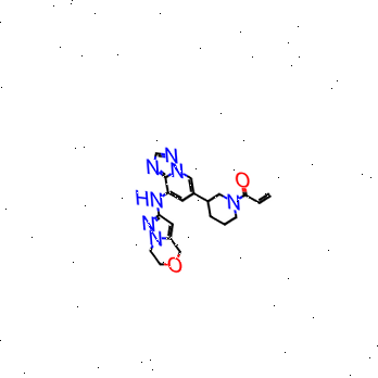 C=CC(=O)N1CCCC(c2cc(Nc3cc4n(n3)CCOC4)c3ncnn3c2)C1